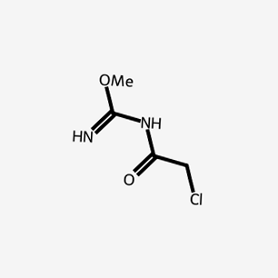 COC(=N)NC(=O)CCl